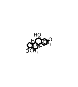 C[C@]12CCC(=O)CC1[C@H](O)C[C@@H]1[C@@H]2CC[C@]2(C)C(=O)CC[C@@H]12